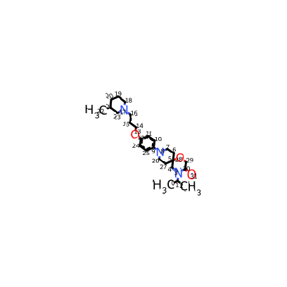 CC(C)N1CC2(CCN(c3ccc(OCCCN4CCC[C@H](C)C4)cc3)CC2)OCC1=O